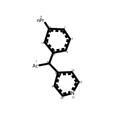 C[CH]Cc1cccc(C(C(C)=O)c2ccncc2)c1